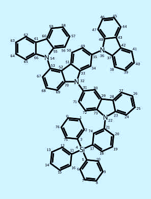 c1ccc([Si](c2ccccc2)(c2ccccc2)c2cccc(-n3c4ccccc4c4cc(-n5c6cc(-n7c8ccccc8c8ccccc87)ccc6c6c(-n7c8ccccc8c8ccccc87)cccc65)ccc43)c2)cc1